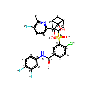 Cc1nc(C(O)C2(O)C3CC2CC(S(=O)(=O)c2cc(C(=O)Nc4ccc(F)c(F)c4)ccc2Cl)C3)ccc1F